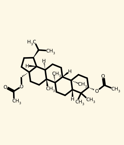 CC(=O)OC[C@]12CC[C@@H](C(C)C)[C@@H]1[C@H]1CC[C@@H]3[C@@]4(C)CC[C@H](OC(C)=O)C(C)(C)[C@@H]4CC[C@@]3(C)[C@]1(C)CC2